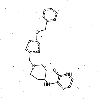 O=c1[nH]ccnc1NC1CCN(Cc2ccc(OCc3ccccc3)cc2)CC1